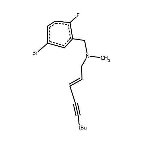 CN(C/C=C/C#CC(C)(C)C)Cc1cc(Br)ccc1F